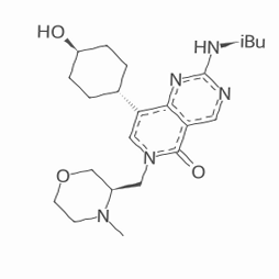 CC[C@H](C)Nc1ncc2c(=O)n(C[C@@H]3COCCN3C)cc([C@H]3CC[C@H](O)CC3)c2n1